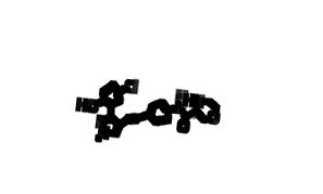 Cn1cc(C#Cc2ccc(NC(=O)[C@@H]3COCCN3)cc2)c(-c2cc(Cl)ccc2O)n1